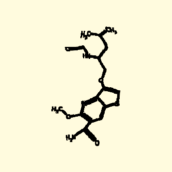 COc1nc2c(OCC(CC(C)C)NC=O)csc2cc1C(N)=O